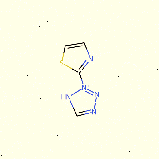 c1csc(-[n+]2nnc[nH]2)n1